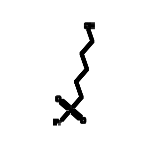 CC(C)S(=O)(=O)CCCCCO